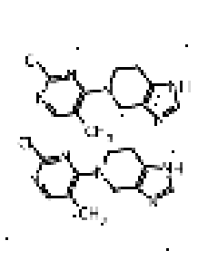 Cc1cnc(Cl)nc1N1CCc2[nH]cnc2C1.Cc1cnc(Cl)nc1N1CCc2[nH]cnc2C1